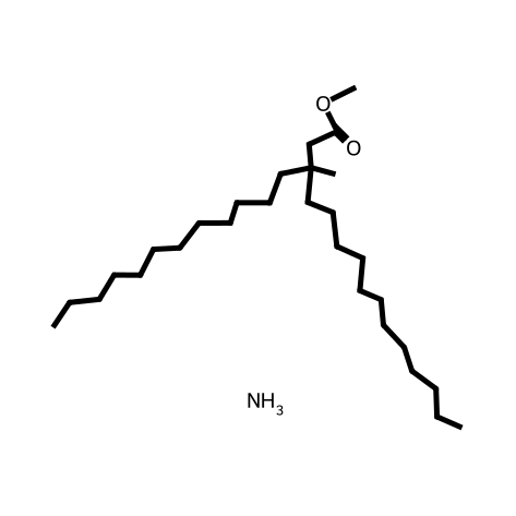 CCCCCCCCCCCCC(C)(CCCCCCCCCCCC)CC(=O)OC.N